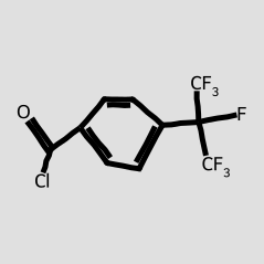 O=C(Cl)c1ccc(C(F)(C(F)(F)F)C(F)(F)F)cc1